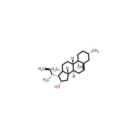 C=C[C@@H](C)[C@H]1[C@@H](O)C[C@H]2[C@@H]3CC=C4C[C@@H](C)CC[C@]4(C)[C@H]3CC[C@]12C